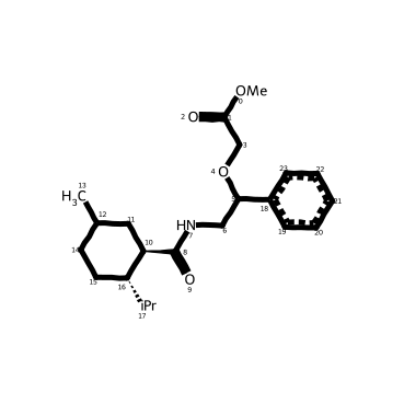 COC(=O)COC(CNC(=O)[C@@H]1CC(C)CC[C@H]1C(C)C)c1ccccc1